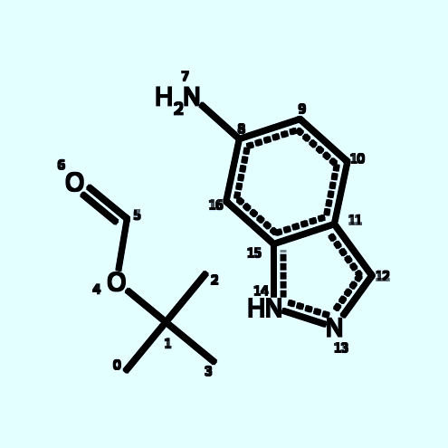 CC(C)(C)OC=O.Nc1ccc2cn[nH]c2c1